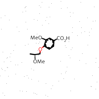 COc1cc(C(=O)O)ccc1OC[C@H](C)OC